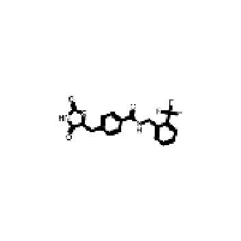 O=C1NC(=O)C(Cc2ccc(C(=O)NCc3ccccc3C(F)(F)F)cc2)S1